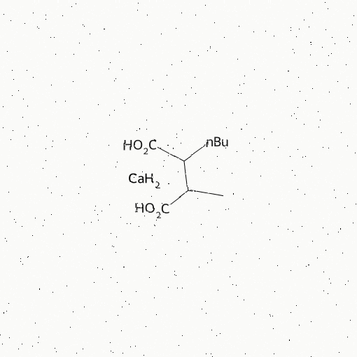 CCCCC(C(=O)O)C(C)C(=O)O.[CaH2]